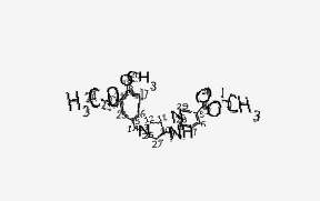 CCOC(=O)c1ccc(NC2CCN(Cc3ccc(OC)c(OCC)c3)CC2)nc1